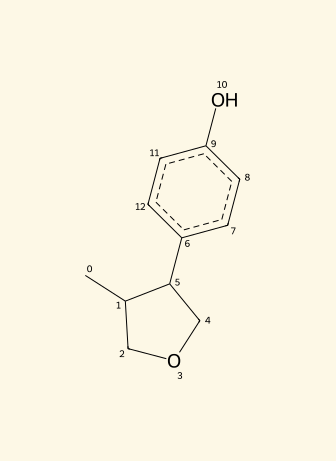 CC1COCC1c1ccc(O)cc1